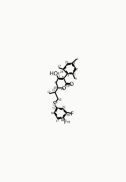 Cc1cc(C)c(C2=C(O)CC(C(C)CSc3ccc(F)c(F)c3)OC2=O)c(C)c1